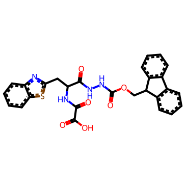 O=C(NNC(=O)C(Cc1nc2ccccc2s1)NC(=O)C(=O)O)OCC1c2ccccc2-c2ccccc21